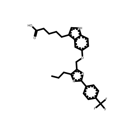 CCCc1nc(-c2ccc(C(F)(F)F)cc2)sc1COc1ccc2[nH]cc(CCCCC(=O)O)c2c1